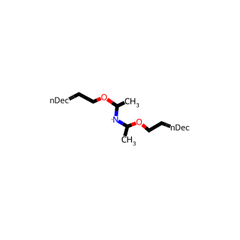 CCCCCCCCCCCCOC(C)[N]C(C)OCCCCCCCCCCCC